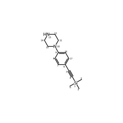 C[Si](C)(C)C#Cc1ccc(N2CCNCC2)cc1